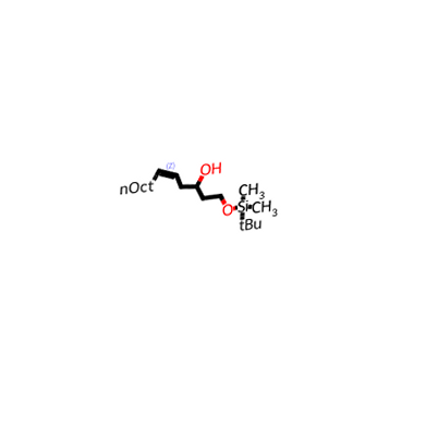 CCCCCCCC/C=C\CC(O)CCO[Si](C)(C)C(C)(C)C